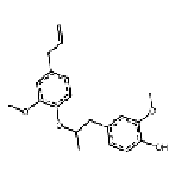 C=CCc1ccc(OC(C)Cc2ccc(O)c(OC)c2)c(OC)c1